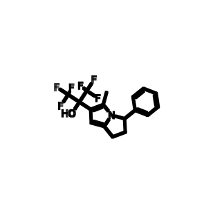 Cc1c(C(O)(C(F)(F)F)C(F)(F)F)cc2n1C(c1ccccc1)CC2